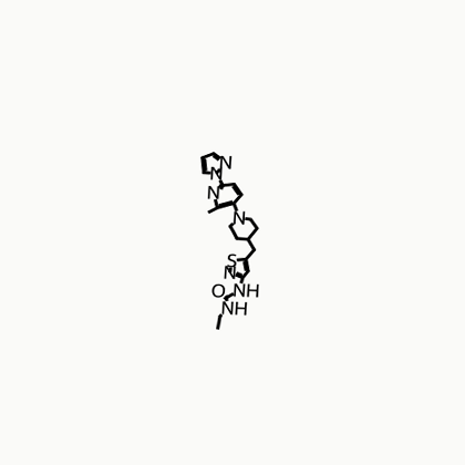 CCNC(=O)Nc1cc(CC2CCN(c3ccc(-n4cccn4)nc3C)CC2)sn1